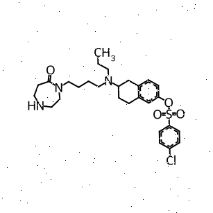 CCCN(CCCCN1CCNCCC1=O)C1CCc2cc(OS(=O)(=O)c3ccc(Cl)cc3)ccc2C1